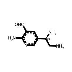 NC[C@H](N)c1cnc(N)c(C=O)c1